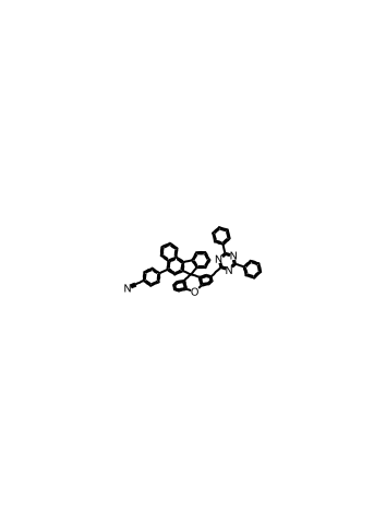 N#Cc1ccc(-c2cc3c(c4ccccc24)-c2ccccc2C32c3ccccc3Oc3ccc(-c4nc(-c5ccccc5)nc(-c5ccccc5)n4)cc32)cc1